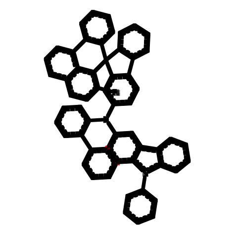 CCc1ccc2cccc3c2c1C1(c2ccccc2-c2ccc(N(c4ccc5c(c4)c4ccccc4n5-c4ccccc4)c4ccccc4-c4ccccc4)cc21)c1ccccc1-3